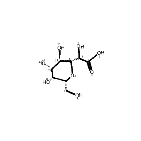 O=C(O)C(O)[C@@H]1O[C@H](CO)[C@H](O)[C@H](O)[C@H]1O